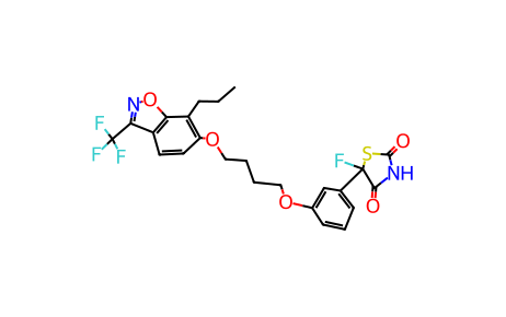 CCCc1c(OCCCCOc2cccc(C3(F)SC(=O)NC3=O)c2)ccc2c(C(F)(F)F)noc12